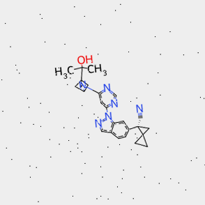 CC(C)(O)C12CC(C1)N(c1cc(-n3ncc4ccc([C@@]5(C#N)CC56CC6)cc43)ncn1)C2